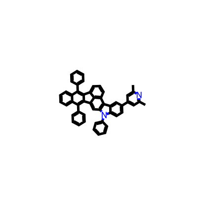 Cc1cc(-c2ccc3c(c2)c2c4cccc5c4c(cc2n3-c2ccccc2)-c2c-5c(-c3ccccc3)c3ccccc3c2-c2ccccc2)cc(C)n1